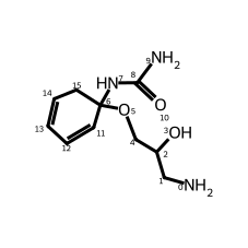 NCC(O)COC1(NC(N)=O)C=CC=CC1